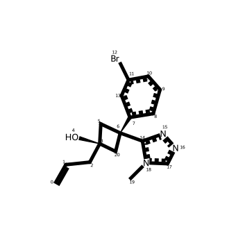 C=CC[C@]1(O)C[C@](c2cccc(Br)c2)(c2nncn2C)C1